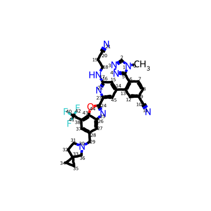 Cn1cnnc1-c1ccc(C#N)cc1-c1cc(NCCC#N)nc(-c2nc3cc(CN4CCC5(CC5)C4)cc(C(F)(F)F)c3o2)c1